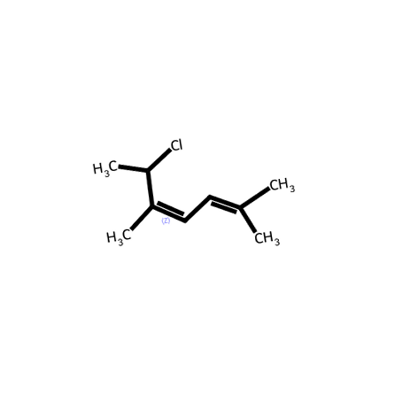 CC(C)=C/C=C(/C)C(C)Cl